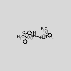 Cc1c(-c2ccccc2)oc2c(C(=O)NCCCN3CCN(c4cc(F)ccc4OCC(F)(F)F)CC3)cccc2c1=O